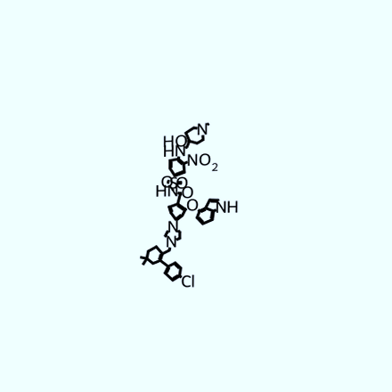 CN1CCC(O)(CNc2ccc(S(=O)(=O)NC(=O)c3ccc(N4CCN(CC5=C(c6ccc(Cl)cc6)CC(C)(C)CC5)CC4)cc3Oc3cccc4[nH]ccc34)cc2[N+](=O)[O-])CC1